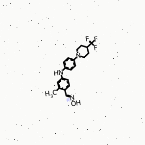 Cc1cc(Nc2ccc(N3CCC(C(F)(F)F)CC3)cc2)ccc1/C=N/O